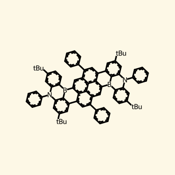 CC(C)(C)c1ccc2c(c1)N(c1ccccc1)c1cc(C(C)(C)C)cc3c1B2c1cc2c(-c4ccccc4)cc4c5c(cc6c(-c7ccccc7)cc-3c1c6c25)B1c2ccc(C(C)(C)C)cc2N(c2ccccc2)c2cc(C(C)(C)C)cc-4c21